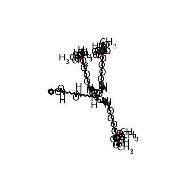 CC(=O)N[C@H]1[C@H]2OC[C@](COCCOCCOCCOCCn3cc(COCC(COCc4cn(CCOCCOCCOCCOC[C@@]56CO[C@@H](O5)[C@H](NC(C)=O)[C@H]5OC(C)(C)O[C@H]56)nn4)(COCc4cn(CCOCCOCCOCCOC[C@]56CO[C@H](C[C@H]7OC(C)(C)O[C@H]75)O6)nn4)NC(=O)CCCCCNC(=O)CCCCCNC(=O)OCc4ccccc4)nn3)(O2)[C@@H]2OC(C)(C)O[C@H]12